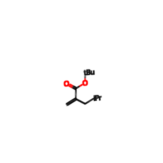 C=C(CC(C)C)C(=O)OC(C)(C)C